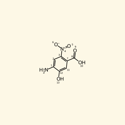 Nc1cc([N+](=O)[O-])c(C(=O)O)cc1O